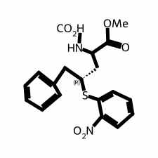 COC(=O)C(C[C@@H](Cc1ccccc1)Sc1ccccc1[N+](=O)[O-])NC(=O)O